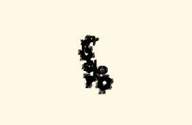 CC(C)CN1CCC(c2nc(C(=O)N(C3CCCCC3)C3CC3)cs2)CC1